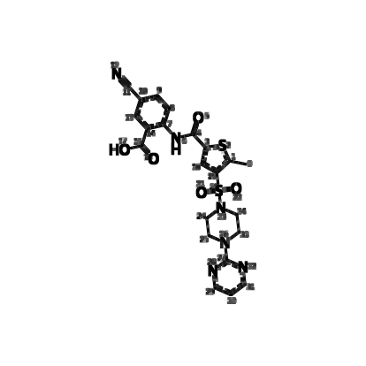 Cc1sc(C(=O)Nc2ccc(C#N)cc2C(=O)O)cc1S(=O)(=O)N1CCN(c2ncccn2)CC1